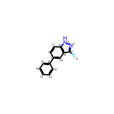 Fc1n[nH]c2ccc(-c3ccccc3)cc12